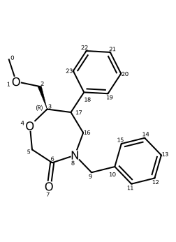 COC[C@@H]1OCC(=O)N(Cc2ccccc2)CC1c1ccccc1